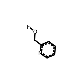 FOCc1ccccn1